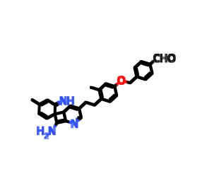 CC1=CC(=N)C2(C=C1)C(N)=C1N=CC(CCc3ccc(OCc4ccc(C=O)cc4)cc3C)=CC12